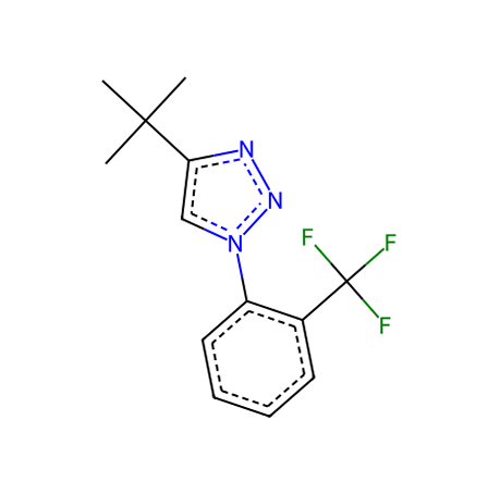 CC(C)(C)c1cn(-c2ccccc2C(F)(F)F)nn1